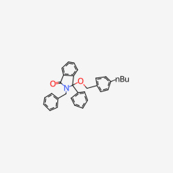 CCCCc1ccc(COC2(c3ccccc3)c3ccccc3C(=O)N2Cc2ccccc2)cc1